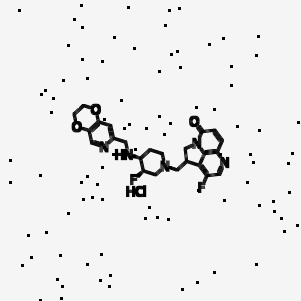 Cl.O=c1ccc2ncc(F)c3c2n1CC3CN1CC[C@H](NCc2cc3c(cn2)OCCO3)[C@H](F)C1